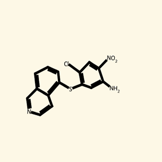 Nc1cc(Sc2cccc3cnccc23)c(Cl)cc1[N+](=O)[O-]